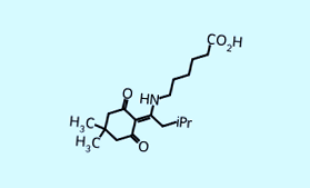 CC(C)CC(NCCCCCC(=O)O)=C1C(=O)CC(C)(C)CC1=O